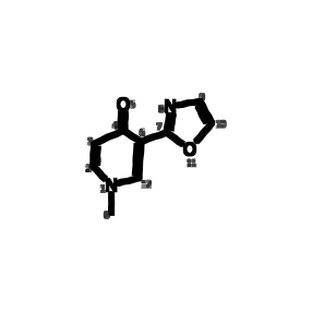 Cn1ccc(=O)c(-c2ncco2)c1